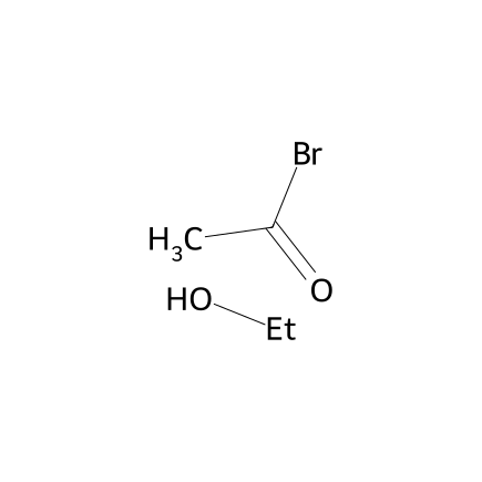 CC(=O)Br.CCO